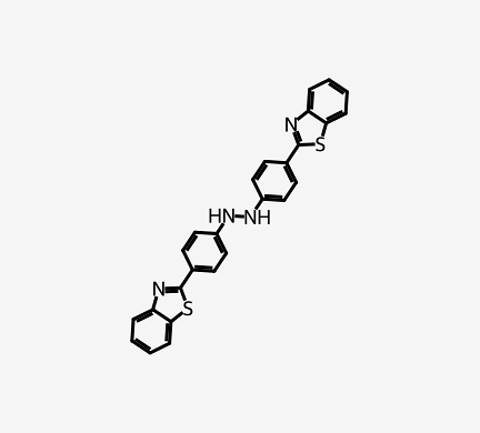 c1ccc2sc(-c3ccc(NNc4ccc(-c5nc6ccccc6s5)cc4)cc3)nc2c1